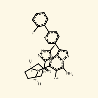 CC(=O)c1c([C@H]2C[C@H]3CC[C@@H](C2)N3C(=O)c2nnc(C)[nH]2)nc2c(-c3ccc(-c4ccccc4F)nc3)cnn2c1N